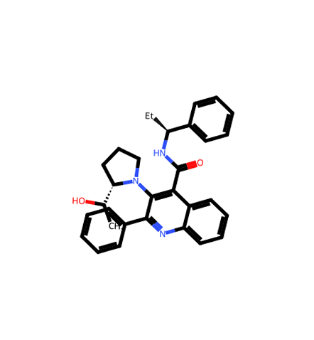 CC[C@H](NC(=O)c1c(N2CCC[C@H]2C(C)O)c(-c2ccccc2)nc2ccccc12)c1ccccc1